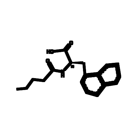 CCCCC(=O)N[C@@H](Cc1cccc2ccccc12)C(=O)O